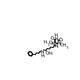 Cn1c(CCCCC(O)CNCCCCc2ccccc2)nc2c1c(=O)[nH]c(=O)n2C